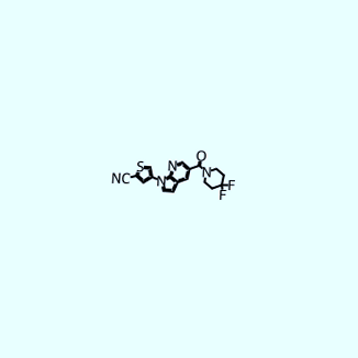 N#Cc1cc(-n2ccc3cc(C(=O)N4CCC(F)(F)CC4)cnc32)cs1